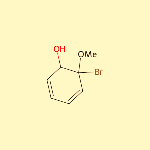 COC1(Br)C=CC=CC1O